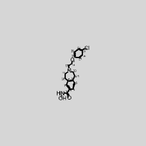 O=C(NO)c1ccc2c(c1)CCN(CCOc1ccc(Cl)cc1)CC2